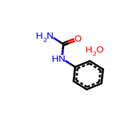 NC(=O)Nc1ccccc1.O